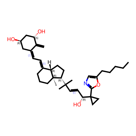 C=C1/C(=C\C=C2/CCC[C@]3(C)[C@@H](C(C)(C)/C=C/[C@@H](O)C4(c5ncc(CCCCC)o5)CC4)CC[C@@H]23)C[C@@H](O)C[C@@H]1O